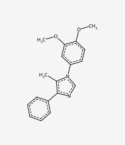 COc1ccc(-n2cnc(-c3ccccc3)c2C)cc1OC